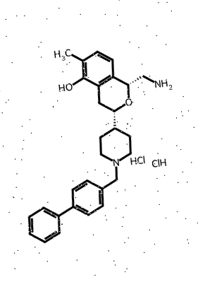 Cc1ccc2c(c1O)C[C@@H](C1CCN(Cc3ccc(-c4ccccc4)cc3)CC1)O[C@H]2CN.Cl.Cl